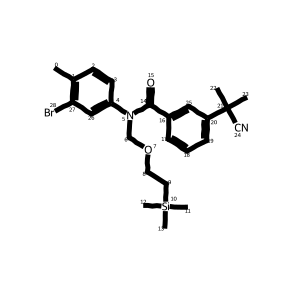 Cc1ccc(N(COCC[Si](C)(C)C)C(=O)c2cccc(C(C)(C)C#N)c2)cc1Br